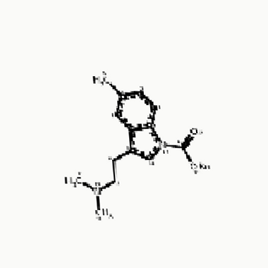 Cc1ccc2c(c1)c(CCN(C)C)cn2C(=O)OCC(C)C